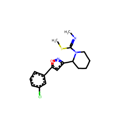 CN=C(SC)N1CCCCC1c1cc(-c2cccc(Cl)c2)on1